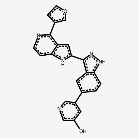 Oc1cncc(-c2ccc3[nH]nc(-c4cc5c(-c6ccoc6)nccc5[nH]4)c3c2)c1